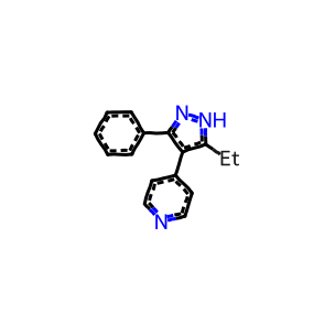 CCc1[nH]nc(-c2ccccc2)c1-c1ccncc1